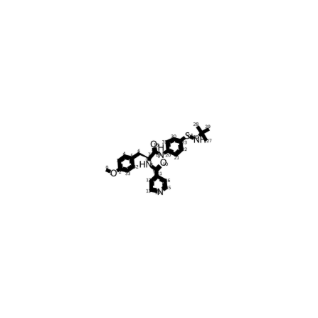 COc1ccc(C[C@H](NC(=O)c2ccncc2)C(=O)Nc2ccc(SNC(C)(C)C)cc2)cc1